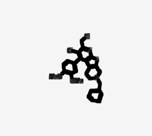 COc1ccc(-c2c(Cl)c(CCl)nc3sc4c(c23)CCN(Cc2ccccc2)C4)cc1OC